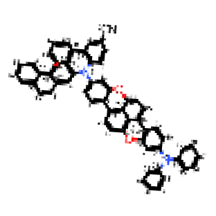 N#Cc1ccc(N(c2ccc3c(c2)Oc2ccc4c5c(ccc-3c25)Oc2cc(N(c3ccccc3)c3ccccc3)ccc2-4)c2ccc3c(ccc4ccccc43)c2)c(-c2ccccc2)c1